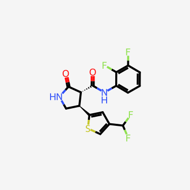 O=C1NC[C@H](c2cc(C(F)F)cs2)[C@H]1C(=O)Nc1cccc(F)c1F